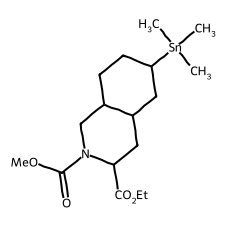 CCOC(=O)C1CC2C[CH]([Sn]([CH3])([CH3])[CH3])CCC2CN1C(=O)OC